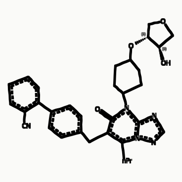 CCCc1c(Cc2ccc(-c3ccccc3C#N)cc2)c(=O)n(C2CCC(O[C@@H]3COC[C@H]3O)CC2)c2ncnn12